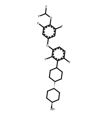 CCC[C@H]1CC[C@H](C2CCC(c3c(F)c[c]c(Oc4cc(F)c(OC(F)F)c(F)c4)c3F)CC2)CC1